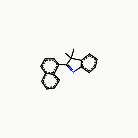 CC1(C)C(c2cccc3ccccc23)=Nc2ccccc21